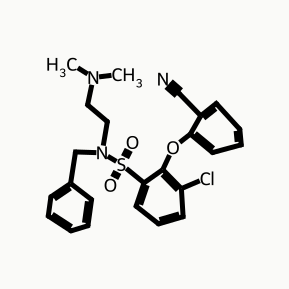 CN(C)CCN(Cc1ccccc1)S(=O)(=O)c1cccc(Cl)c1Oc1ccccc1C#N